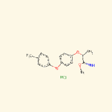 CCOC(=N)C(C)Oc1ccc(Oc2ccc(C(F)(F)F)cc2)cc1.Cl